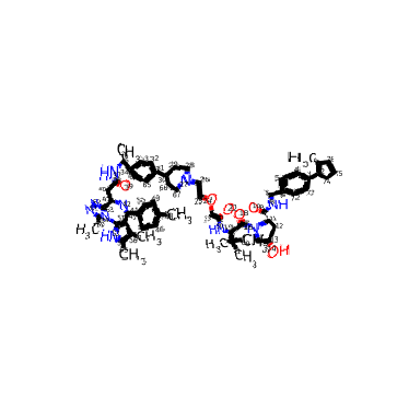 CC1=C(c2ccc(CNC(=O)[C@@H]3CC(O)CN3C(=O)C(NC(=O)COCCN3CCC(c4ccc([C@H](C)NC(=O)CC5N=C(c6ccc(C)cc6)c6c([nH]c(C)c6C)-n6c(C)nnc65)cc4)CC3)C(C)(C)C)cc2)CC=C1